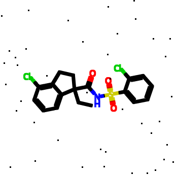 CCC1(C(=O)NS(=O)(=O)c2ccccc2Cl)CCc2c(Cl)cccc21